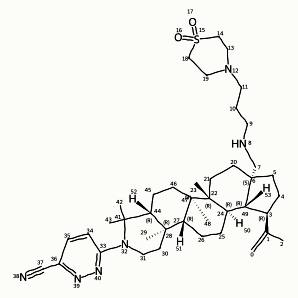 C=C(C)[C@@H]1CC[C@]2(CNCCCN3CCS(=O)(=O)CC3)CC[C@]3(C)[C@H](CC[C@@H]4[C@@]5(C)CCN(c6ccc(C#N)nn6)C(C)(C)[C@@H]5CC[C@]43C)[C@@H]12